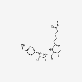 COC(=O)CCCCC(=O)NC(C(=O)NC(C)C(=O)Nc1ccc(CO)cc1)C(C)C